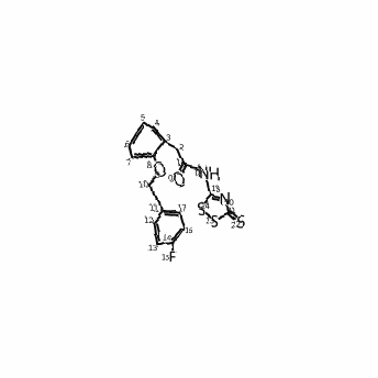 O=C(Cc1ccccc1OCc1ccc(F)cc1)Nc1nc(=S)ss1